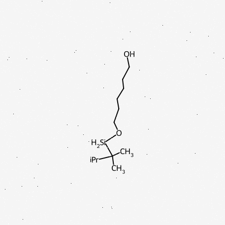 CC(C)C(C)(C)[SiH2]OCCCCCCO